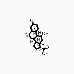 C[C@H]1C[C@@H]2[C@H]([C@@H](O)C[C@]3(C)[C@@H](C(=O)O)CC[C@@H]23)[C@@]2(C)C=CC(=O)C=C12